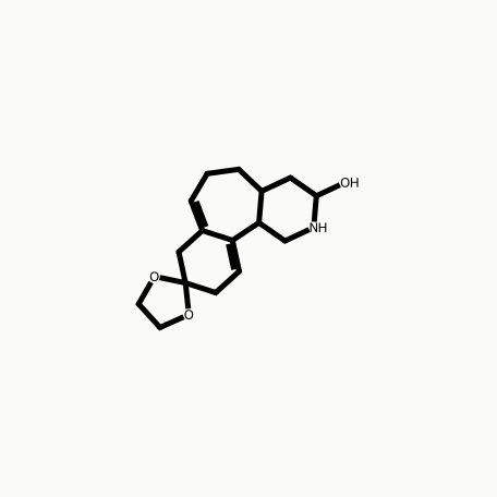 OC1CC2CCC=C3CC4(CC=C3C2CN1)OCCO4